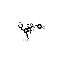 Cn1nc(C(=O)NCc2ccc(Cl)cc2)c(=O)c2cc(CC3CCOCC3)cc(C#CCO)c21